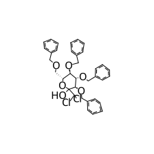 OC1(C(Cl)Cl)O[C@H](COCc2ccccc2)[C@@H](OCc2ccccc2)[C@H](OCc2ccccc2)[C@H]1OCc1ccccc1